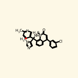 Cc1ccc(C(N)(c2cccc3c(-c4cccc(Cl)c4)cc(=O)n(C)c23)c2cncn2C)cn1